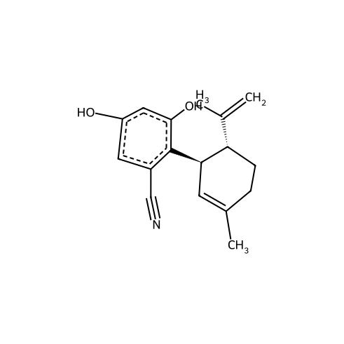 C=C(C)[C@@H]1CCC(C)=C[C@H]1c1c(O)cc(O)cc1C#N